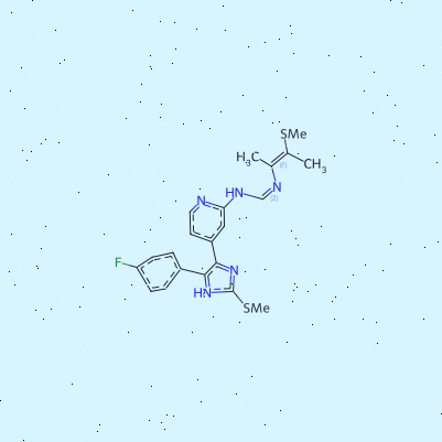 CS/C(C)=C(C)/N=C\Nc1cc(-c2nc(SC)[nH]c2-c2ccc(F)cc2)ccn1